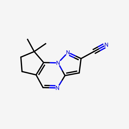 CC1(C)CCc2cnc3cc(C#N)nn3c21